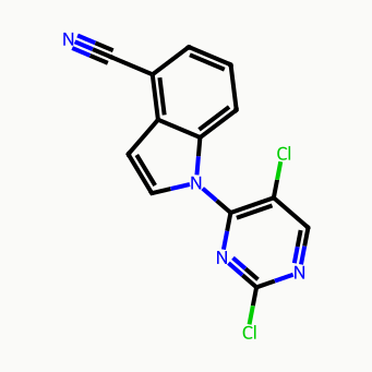 N#Cc1cccc2c1ccn2-c1nc(Cl)ncc1Cl